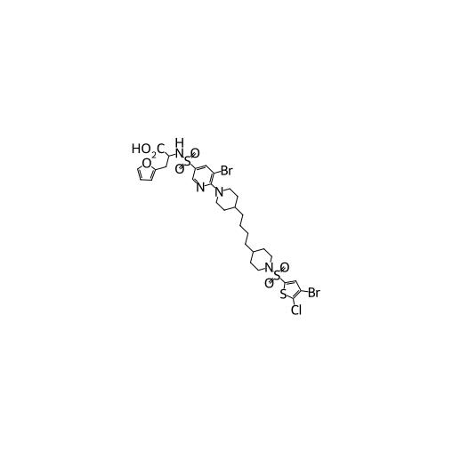 O=C(O)C(Cc1ccco1)NS(=O)(=O)c1cnc(N2CCC(CCCCC3CCN(S(=O)(=O)c4cc(Br)c(Cl)s4)CC3)CC2)c(Br)c1